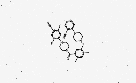 Cc1cc(C)c(C(=O)N2CCN(c3cc(F)c(C#N)cc3F)CC2)cc1SN1CCN(c2ccccc2C#N)CC1